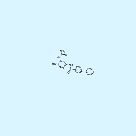 NC(=O)Nc1cc(NC(=O)c2ccc(-c3ccccc3)cc2)ccc1O